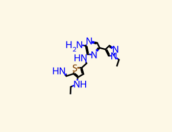 CCNc1cc(CNc2nc(-c3cnn(CC)c3)cnc2N)sc1C=N